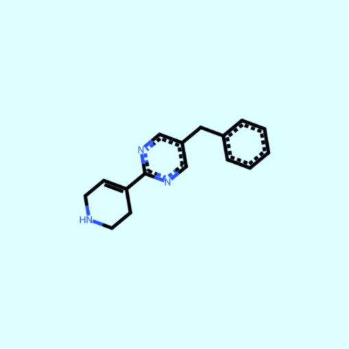 C1=C(c2ncc(Cc3ccccc3)cn2)CCNC1